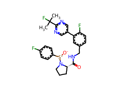 CC(C)(F)c1ncc(-c2cc(CNC(=O)[C@@H]3CCCN3[S+]([O-])c3ccc(F)cc3)ccc2F)cn1